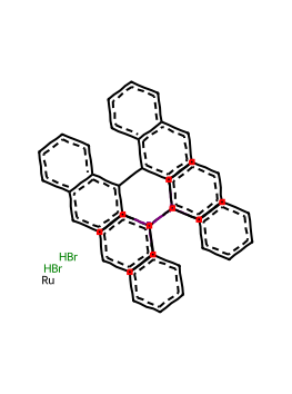 Br.Br.[Ru].c1ccc(P(c2ccccc2)c2ccc3ccccc3c2-c2c(P(c3ccccc3)c3ccccc3)ccc3ccccc23)cc1